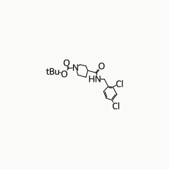 CC(C)(C)OC(=O)N1CCC(C(=O)NCc2ccc(Cl)cc2Cl)CC1